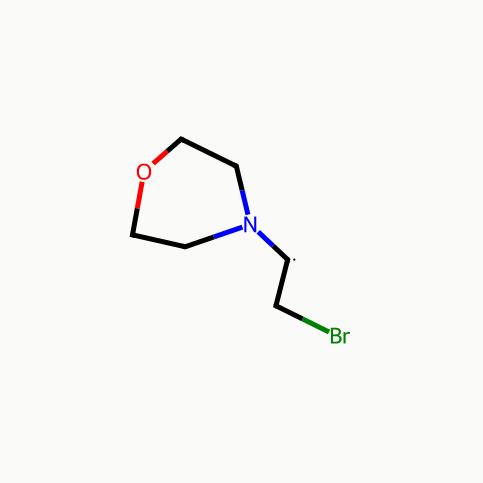 BrC[CH]N1CCOCC1